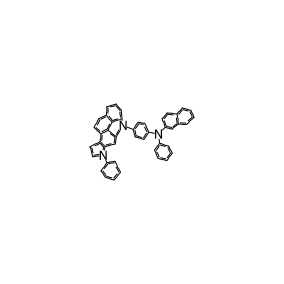 c1ccc(N(c2ccc(-n3c4cccc5ccc6c7ccn(-c8ccccc8)c7cc3c6c54)cc2)c2ccc3ccccc3c2)cc1